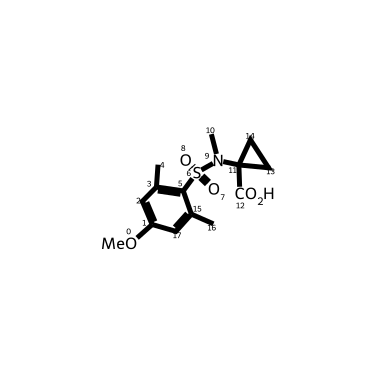 COc1cc(C)c(S(=O)(=O)N(C)C2(C(=O)O)CC2)c(C)c1